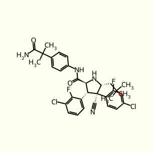 CC(C)(C)C[C@H]1N[C@H](C(=O)Nc2ccc(C(C)(C)C(N)=O)cc2)[C@@H](c2cccc(Cl)c2F)[C@]1(C#N)c1ccc(Cl)cc1F